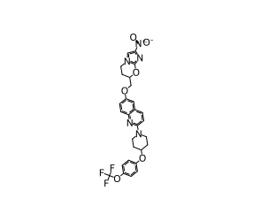 O=[N+]([O-])c1cn2c(n1)OC(COc1ccc3nc(N4CCC(Oc5ccc(OC(F)(F)F)cc5)CC4)ccc3c1)CC2